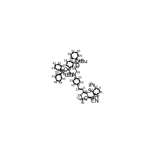 CC(C)c1cccc(C(C)C)c1SC1=C(/C=C/c2ccc(N(CCO[Si](c3ccccc3)(c3ccccc3)C(C)(C)C)CCO[Si](c3ccccc3)(c3ccccc3)C(C)(C)C)cc2)CC(C)(C)C/C1=C\C#N